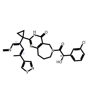 C=N/C=C(\C=C(/C)c1cnsc1)C1(c2nc3c(c(=O)[nH]2)CN(C(=O)[C@H](O)c2cccc(Cl)c2)CCC3)CC1